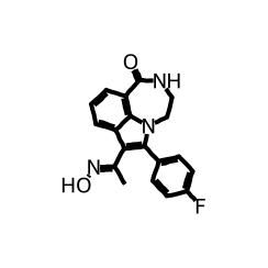 CC(=NO)c1c(-c2ccc(F)cc2)n2c3c(cccc13)C(=O)NCC2